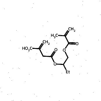 C=C(C)C(=O)OCC(CC)OC(=O)CC(=C)C(=O)O